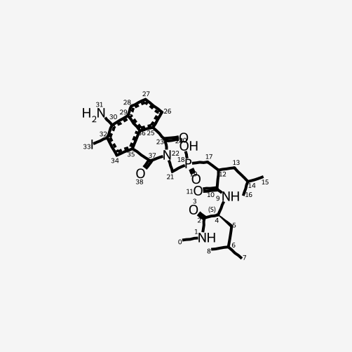 CNC(=O)[C@H](CC(C)C)NC(=O)C(CC(C)C)CP(=O)(O)CN1C(=O)c2cccc3c(N)c(I)cc(c23)C1=O